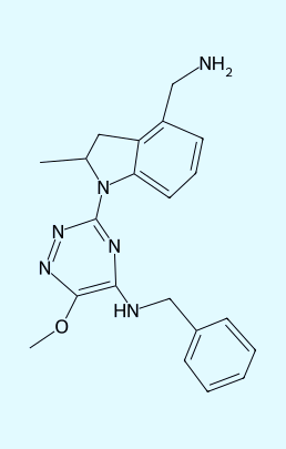 COc1nnc(N2c3cccc(CN)c3CC2C)nc1NCc1ccccc1